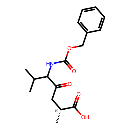 CC(C)C(NC(=O)OCc1ccccc1)C(=O)C[C@@H](C)C(=O)O